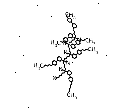 CCCCCCCC1CCC(C2CCCC(C(C#N)(CCCCCC#N)CCCCC(C#N)(CCCCC(C#N)(CCCCC(C#N)(CCCCC(C#N)(CCCCC3CCCC(C4CCC(CC)CC4)C3)C3CCCC(C4CCC(CCC)CC4)C3)C3CCCC(C4CCC(CCCC)CC4)C3)C3CCCC(C4CCC(CCCCC)CC4)C3)C3CCCC(C4CCC(CCCCCC)CC4)C3)C2)CC1